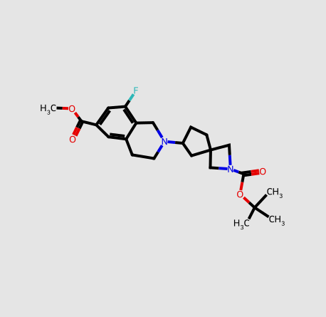 COC(=O)c1cc(F)c2c(c1)CCN(C1CCC3(C1)CN(C(=O)OC(C)(C)C)C3)C2